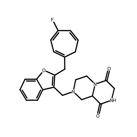 O=C1NCC(=O)N2CCN(Cc3c(CC4=CC=C(F)C=CC4)oc4ccccc34)CC12